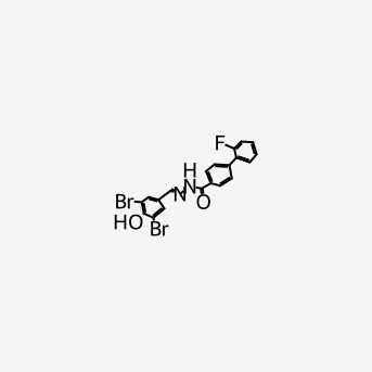 O=C(N/N=C/c1cc(Br)c(O)c(Br)c1)c1ccc(-c2ccccc2F)cc1